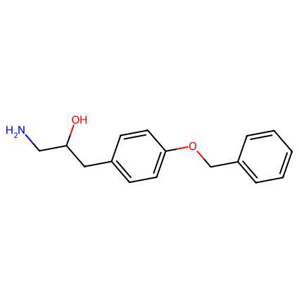 NCC(O)Cc1ccc(OCc2ccccc2)cc1